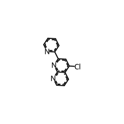 Clc1cc(-c2ccccn2)nc2ncccc12